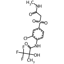 CNC(=O)CS(=O)(=O)c1ccc(NC(=O)C(C)(O)C(F)(F)F)c(Cl)c1